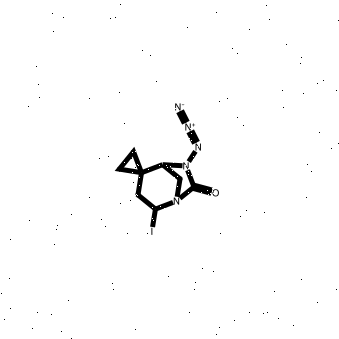 [N-]=[N+]=NN1C(=O)N2CC1C1(CC1)CC2I